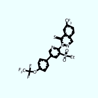 CCS(=O)(=O)c1cc(-c2ccc(OC(F)(F)C(F)(F)F)cc2)cnc1-n1ncc2ccc(C(F)(F)F)cc2c1=S